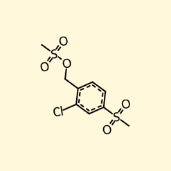 CS(=O)(=O)OCc1ccc(S(C)(=O)=O)cc1Cl